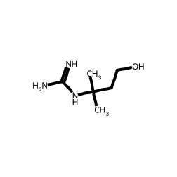 CC(C)(CCO)NC(=N)N